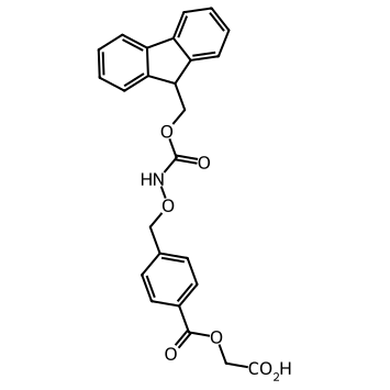 O=C(O)COC(=O)c1ccc(CONC(=O)OCC2c3ccccc3-c3ccccc32)cc1